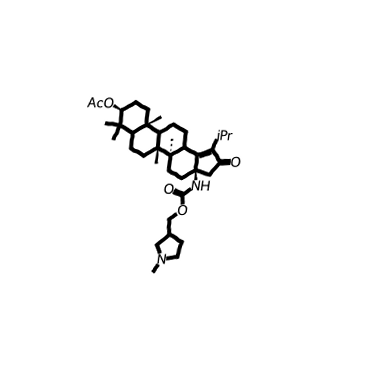 CC(=O)O[C@H]1CC[C@@]2(C)C(CC[C@]3(C)C2CCC2C4=C(C(C)C)C(=O)C[C@]4(NC(=O)OCC4CCN(C)C4)CC[C@]23C)C1(C)C